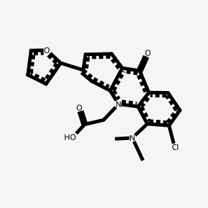 CN(C)c1c(Cl)ccc2c(=O)c3ccc(-c4ccco4)cc3n(CC(=O)O)c12